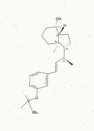 C[C@@H](C=Cc1cccc(O[Si](C)(C)C(C)(C)C)c1)[C@H]1CC[C@H]2[C@@H](O)CCC[C@]12C